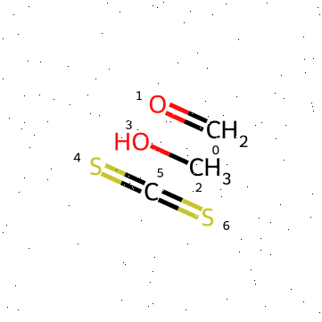 C=O.CO.S=C=S